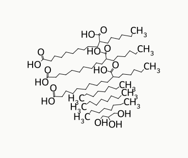 CCCCCCC(CCCCCCCCCC(=O)O)C(=O)O.CCCCCCC(CCCCCCCCCC(=O)O)C(=O)O.CCCCCCC(CCCCCCCCCC(=O)O)C(=O)O.CCCCCCCC.CCCCCCCC.CCCCCCCC.OCC(O)CO